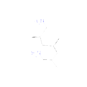 CC(CN)CC(C)CC(C)CN